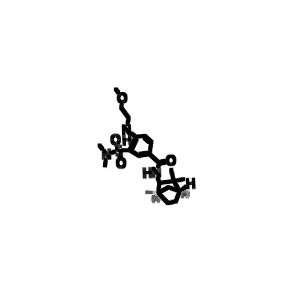 COCCNc1ccc(C(=O)NC2C(C)(C)[C@@H]3CC[C@]2(C)C3)cc1S(=O)(=O)N(C)C